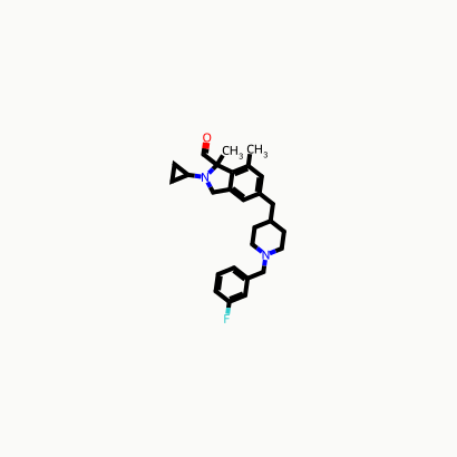 Cc1cc(CC2CCN(Cc3cccc(F)c3)CC2)cc2c1C(C)(C=O)N(C1CC1)C2